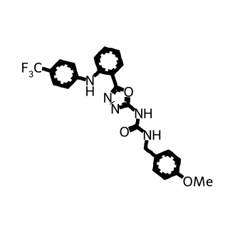 COc1ccc(CNC(=O)Nc2nnc(-c3ccccc3Nc3ccc(C(F)(F)F)cc3)o2)cc1